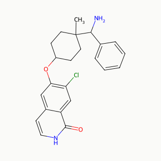 CC1(C(N)c2ccccc2)CCC(Oc2cc3cc[nH]c(=O)c3cc2Cl)CC1